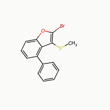 CSc1c(Br)oc2cccc(-c3ccccc3)c12